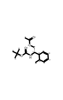 CC(=O)OC[C@@H](NC(=O)OC(C)(C)C)C1C=CC=CC1C